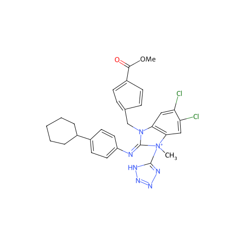 COC(=O)c1ccc(CN2C(=Nc3ccc(C4CCCCC4)cc3)[N+](C)(c3nnn[nH]3)c3cc(Cl)c(Cl)cc32)cc1